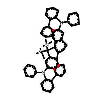 C[Si](C)(C)C1([Si](C)(C)C)c2cc(N(c3ccccc3)c3ccccc3-c3ccccc3)ccc2-c2ccc3cc(N(c4ccccc4)c4ccccc4-c4ccccc4)ccc3c21